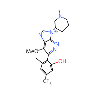 COc1c(-c2c(C)cc(C(F)(F)F)cc2O)nnc2c1ncn2[C@@H]1CCCN(C)C1